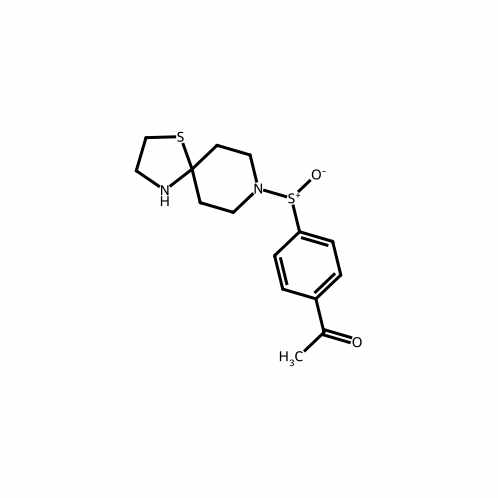 CC(=O)c1ccc([S+]([O-])N2CCC3(CC2)NCCS3)cc1